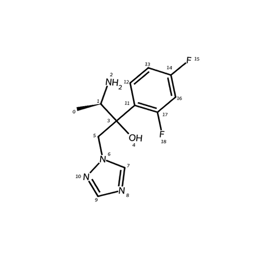 C[C@@H](N)C(O)(Cn1cncn1)c1ccc(F)cc1F